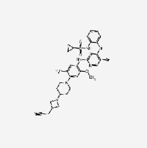 COc1cc(N2CCC(N3CC(CC#N)C3)CC2)c(C)cc1Nc1ncc(Br)c(Nc2ccccc2NS(=O)(=O)C2CC2)n1